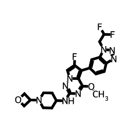 COc1nc(NC2CCN(C3COC3)CC2)nn2cc(F)c(-c3ccc4nnn(CC(F)F)c4c3)c12